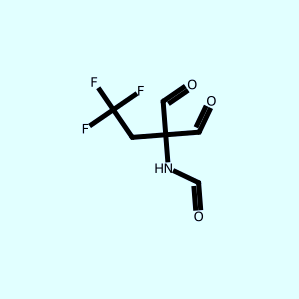 O=CNC(C=O)(C=O)CC(F)(F)F